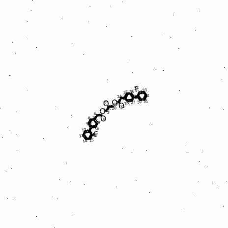 O=C(COC(=O)Cc1ccc(-c2ccccc2F)cc1)COC(=O)Cc1ccc(-c2ccccc2F)cc1